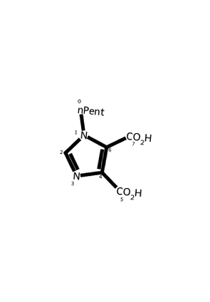 CCCCCn1cnc(C(=O)O)c1C(=O)O